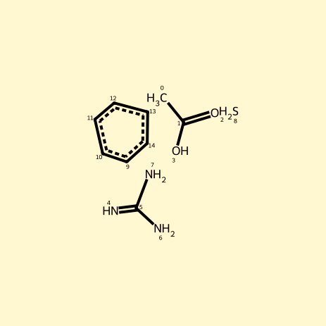 CC(=O)O.N=C(N)N.S.c1ccccc1